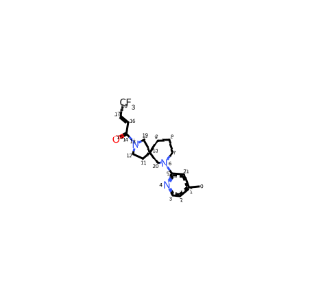 Cc1ccnc(N2CCCC3(CCN(C(=O)C=CC(F)(F)F)C3)C2)c1